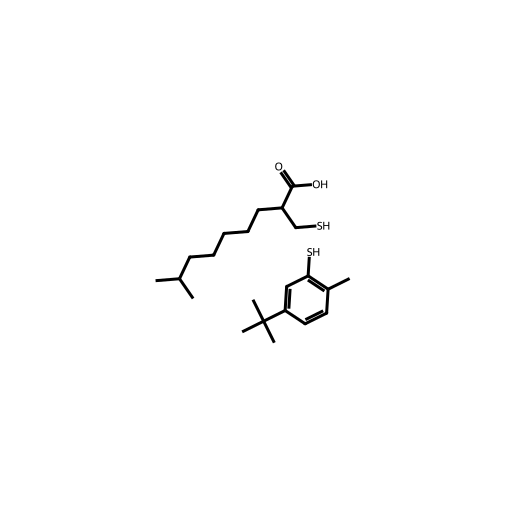 CC(C)CCCCCC(CS)C(=O)O.Cc1ccc(C(C)(C)C)cc1S